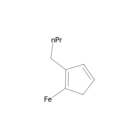 CCCCC1=[C]([Fe])CC=C1